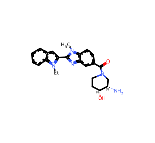 CCn1c(-c2nc3cc(C(=O)N4CC[C@@H](O)[C@@H](N)C4)ccc3n2C)cc2ccccc21